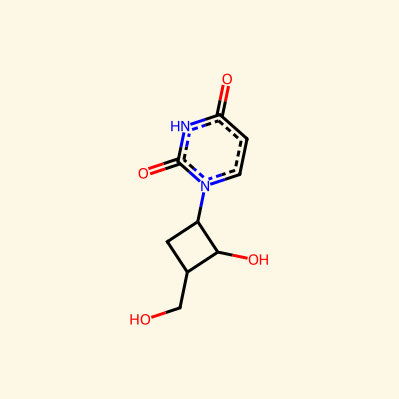 O=c1ccn(C2CC(CO)C2O)c(=O)[nH]1